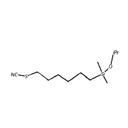 CC(C)O[Si](C)(C)CCCCCCSC#N